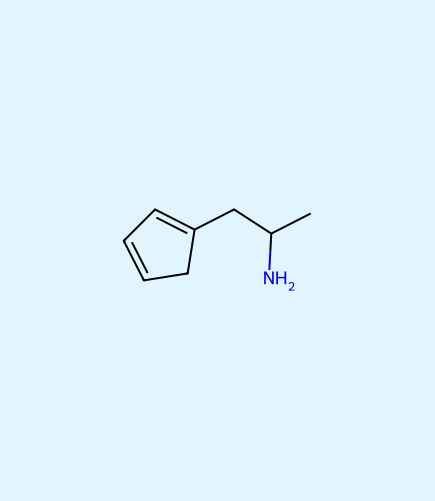 CC(N)CC1=CC=CC1